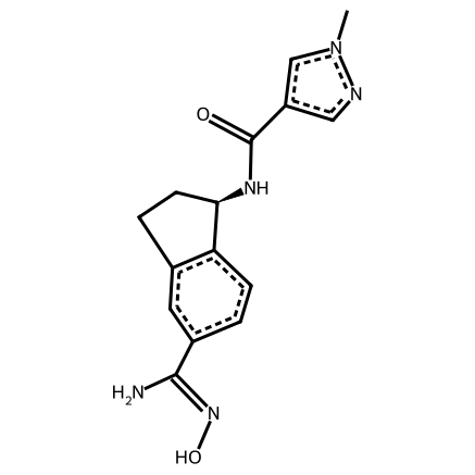 Cn1cc(C(=O)N[C@@H]2CCc3cc(/C(N)=N/O)ccc32)cn1